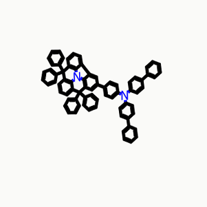 c1ccc(-c2ccc(N(c3ccc(-c4ccccc4)cc3)c3ccc(-c4cc5c6c(c4)c4cccc7c4n6-c4c(cccc4C5(c4ccccc4)c4ccccc4)C7(c4ccccc4)c4ccccc4)cc3)cc2)cc1